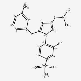 CCN(C)Cc1nc(Cc2cccc(C)c2)n(-c2ccc(S(N)(=O)=O)cc2F)n1